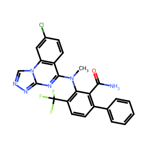 CN(c1c(C(F)(F)F)ccc(-c2ccccc2)c1C(N)=O)c1nc2nncn2c2cc(Cl)ccc12